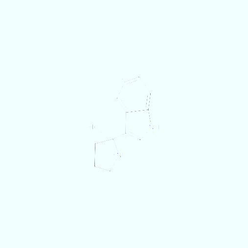 O=C(O)[C@@]1(c2c[nH]c3ccccc23)CCCN1